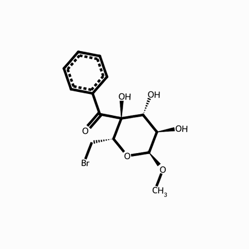 CO[C@H]1O[C@H](CBr)[C@](O)(C(=O)c2ccccc2)[C@H](O)[C@H]1O